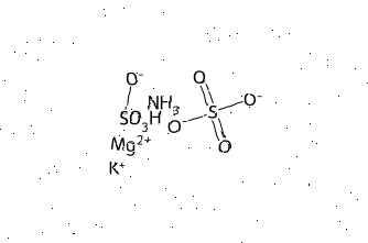 N.O=S(=O)([O-])O.O=S(=O)([O-])[O-].[K+].[Mg+2]